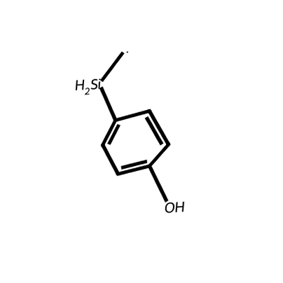 [CH2][SiH2]c1ccc(O)cc1